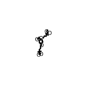 COC(=O)C(C)(C)CCCOC1=CCC(OCCCC(C)(C)C(=O)OC)(C(C)=O)C=C1